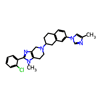 Cc1cn(-c2ccc3c(c2)CC(N2CCc4c(nc(-c5ccccc5Cl)n4C)C2)CC3)cn1